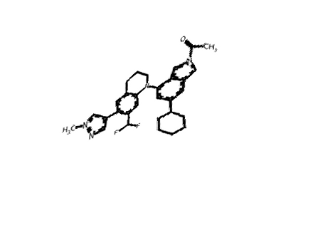 CC(=O)n1cc2cc(C3CC[CH]CC3)cc(N3CCCc4cc(-c5cnn(C)c5)c(C(F)F)cc43)c2c1